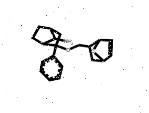 NC1C2CCC1C(OCC1CC3C=CC1O3)(c1ccccc1)C2